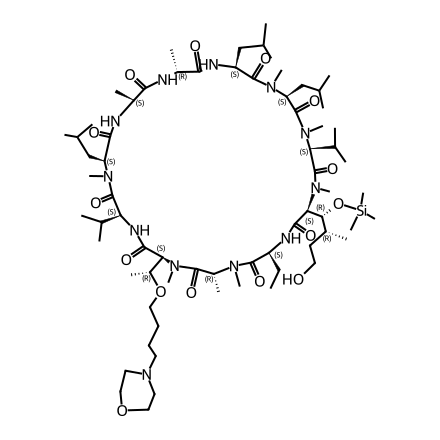 CC[C@@H]1NC(=O)[C@H]([C@H](O[Si](C)(C)C)[C@H](C)CCO)N(C)C(=O)[C@H](C(C)C)N(C)C(=O)[C@H](CC(C)C)N(C)C(=O)[C@H](CC(C)C)NC(=O)[C@@H](C)NC(=O)[C@H](C)NC(=O)[C@H](CC(C)C)N(C)C(=O)[C@H](C(C)C)NC(=O)[C@H]([C@@H](C)OCCCCN2CCOCC2)N(C)C(=O)[C@@H](C)N(C)C1=O